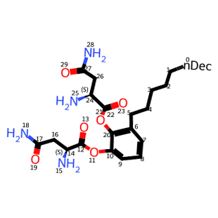 CCCCCCCCCCCCCCCc1cccc(OC(=O)[C@@H](N)CC(N)=O)c1OC(=O)[C@@H](N)CC(N)=O